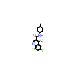 CC1CCC(NC(=O)c2cnc3c(F)cc(F)cc3c2Cl)CC1